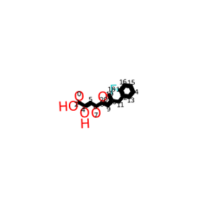 O=C(O)/C(O)=C/C(=O)c1cc(Cc2ccccc2F)co1